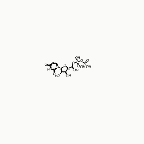 O=c1ccn([C@H]2O[C@@H](C(O)OP(=O)(O)OP(=O)(O)O)C(O)C2O)c(=O)[nH]1